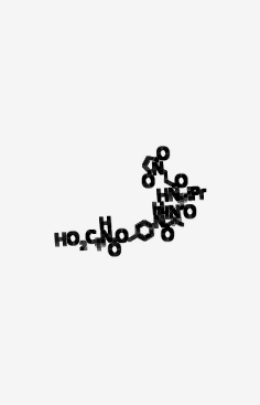 CC(C)[C@H](NC(=O)CCN1C(=O)C=CC1=O)C(=O)N[C@@H](C)C(=O)Nc1ccc(COC(=O)N[C@H](C)C(=O)O)cc1